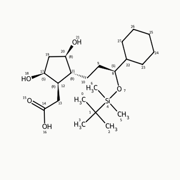 CC(C)(C)[Si](C)(C)O[C@@H](CC[C@@H]1[C@@H](CC(=O)O)[C@@H](O)C[C@H]1O)C1CCCCC1